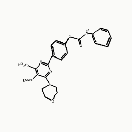 CCOc1c(C(=O)O)nc(-c2ccc(OC(=O)Nc3ccccc3)cc2)nc1N1CCOCC1